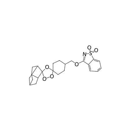 O=S1(=O)N=C(OCC2CCC3(CC2)OOC2(O3)C3CC4CC(C3)C2C4)c2ccccc21